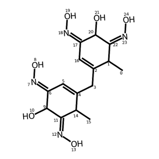 CC1C(CC2=CC(=NO)C(O)C(=NO)C2C)=CC(=NO)C(O)C1=NO